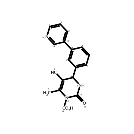 CC1=C(C#N)C(c2cccc(-c3cccnc3)c2)NC(=O)N1C(=O)O